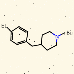 CCCCN1CCC(Cc2ccc(CC)cc2)CC1